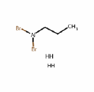 CC[CH2][Al]([Br])[Br].[HH].[HH]